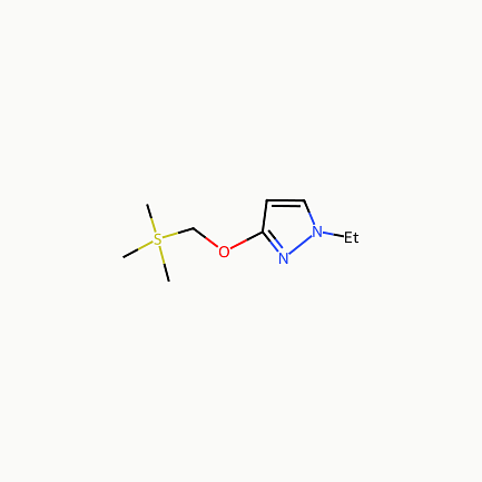 CCn1ccc(OCS(C)(C)C)n1